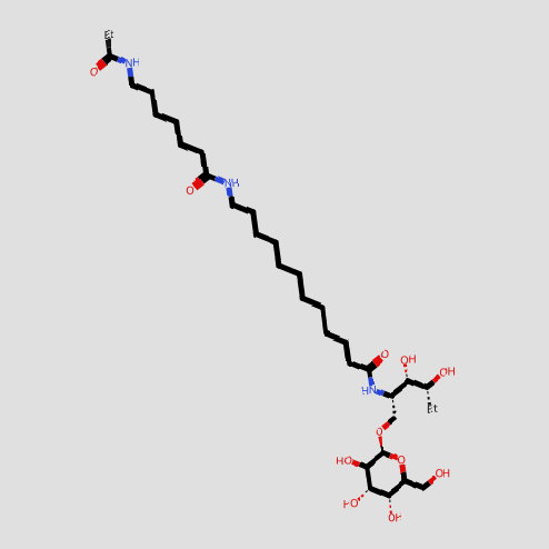 CCC(=O)NCCCCCCC(=O)NCCCCCCCCCCCC(=O)N[C@@H](CO[C@H]1OC(CO)[C@H](O)[C@H](O)C1O)[C@H](O)[C@H](O)CC